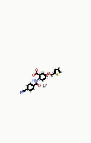 N#Cc1ccc(C(=O)Nc2ccc(OCc3cccs3)cc2C(=O)[O-])cc1.[Li+]